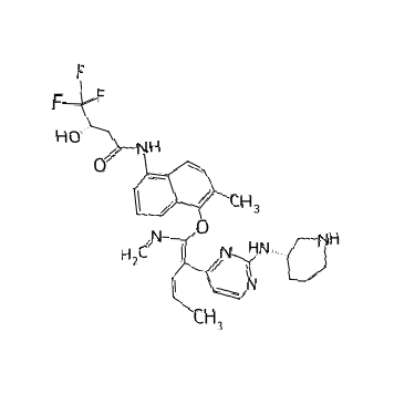 C=N/C(Oc1c(C)ccc2c(NC(=O)C[C@H](O)C(F)(F)F)cccc12)=C(\C=C/C)c1ccnc(N[C@H]2CCCNC2)n1